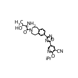 CC(C)Oc1ncc(-c2nc(-c3ccc4c(c3)CCN(C(=O)[C@@H](N)C(C)O)CC4)no2)cc1C#N